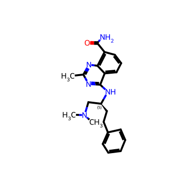 Cc1nc(N[C@@H](CCc2ccccc2)CN(C)C)c2cccc(C(N)=O)c2n1